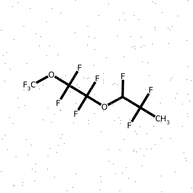 CC(F)(F)C(F)OC(F)(F)C(F)(F)OC(F)(F)F